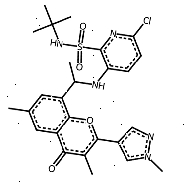 Cc1cc(C(C)Nc2ccc(Cl)nc2S(=O)(=O)NC(C)(C)C)c2oc(-c3cnn(C)c3)c(C)c(=O)c2c1